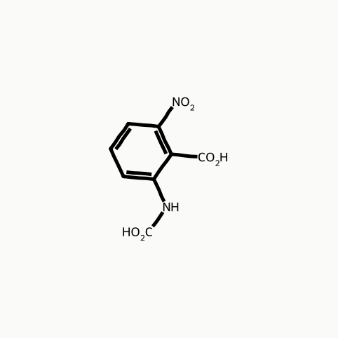 O=C(O)Nc1cccc([N+](=O)[O-])c1C(=O)O